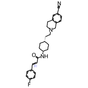 N#Cc1ccc2c(c1)CCN(CC[C@H]1CC[C@H](NC(=O)/C=C/c3ccc(F)cc3)CC1)C2